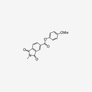 COc1ccc(OC(=O)c2ccc3c(c2)C(=O)N(C)C3=O)cc1